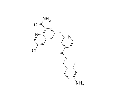 C=C(NCc1ccc(N)nc1C)c1ccnc(Cc2cc(C(N)=O)c3ncc(Cl)cc3c2)c1